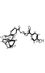 COc1ccc(C(=O)COOC(=O)c2ccc(C)cc2)cc1C12CC3CC(CC(C3)C1)C2